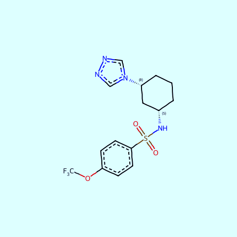 O=S(=O)(N[C@H]1CCC[C@@H](n2cnnc2)C1)c1ccc(OC(F)(F)F)cc1